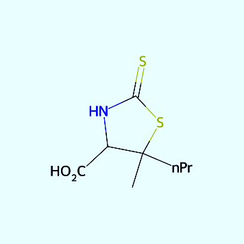 CCCC1(C)SC(=S)NC1C(=O)O